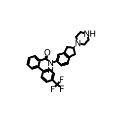 O=C(Nc1ccc2c(c1)C[C@H](N1CCNCC1)C2)c1ccccc1-c1ccc(C(F)(F)F)cc1